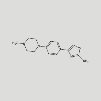 CN1CCN(c2ccc(-c3csc(N)n3)cc2)CC1